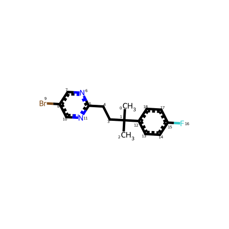 CC(C)(CCc1ncc(Br)cn1)c1ccc(F)cc1